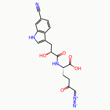 N#Cc1ccc2c(C[C@H](O)C(=O)N[C@@H](CCC(=O)C=[N+]=[N-])C(=O)O)c[nH]c2c1